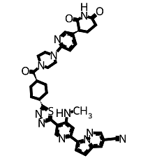 CNc1cc(-c2ccc3cc(C#N)cnn23)ncc1-c1nnc([C@H]2CC[C@H](C(=O)N3CCN(c4ccc([C@@H]5CCC(=O)NC5=O)cn4)CC3)CC2)s1